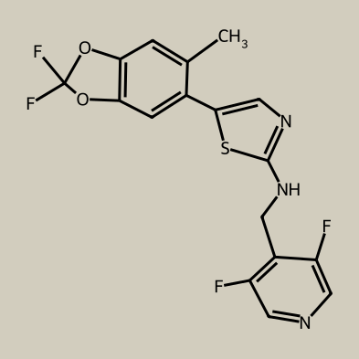 Cc1cc2c(cc1-c1cnc(NCc3c(F)cncc3F)s1)OC(F)(F)O2